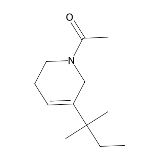 CCC(C)(C)C1=CCCN(C(C)=O)C1